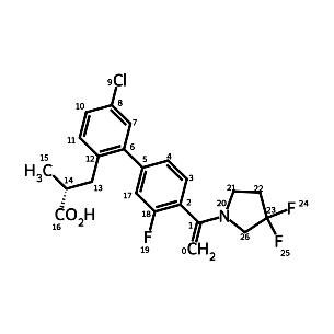 C=C(c1ccc(-c2cc(Cl)ccc2C[C@@H](C)C(=O)O)cc1F)N1CCC(F)(F)C1